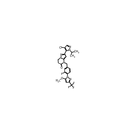 COc1cc(C(F)(F)F)nn1-c1ccc(CN2C(=O)CCn3nc(-c4c(Cl)cnn4C(C)C)cc32)cc1F